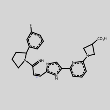 N=C(/C=C\c1ncc(-c2cccc(N3CC(C(=O)O)C3)n2)[nH]1)N1CCCC1c1cccc(F)c1